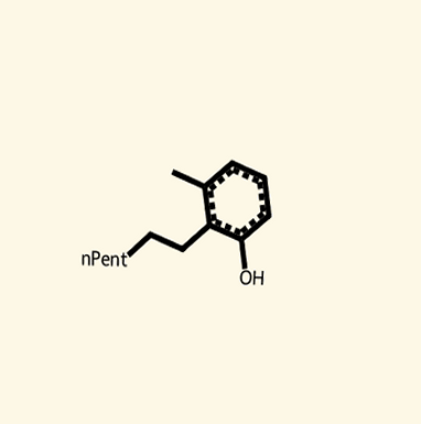 CCCCCCCc1c(C)cccc1O